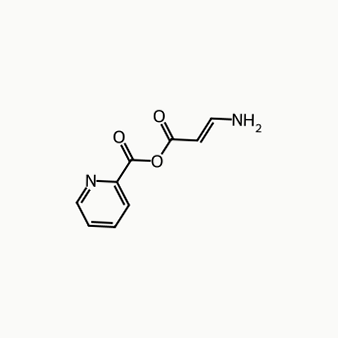 NC=CC(=O)OC(=O)c1ccccn1